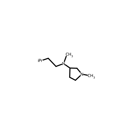 CC(C)CCN(C)C1CCN(C)C1